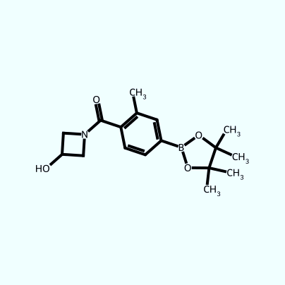 Cc1cc(B2OC(C)(C)C(C)(C)O2)ccc1C(=O)N1CC(O)C1